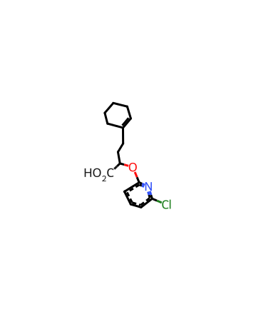 O=C(O)C(CCC1=CCCCC1)Oc1cccc(Cl)n1